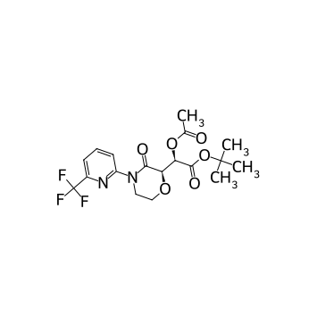 CC(=O)O[C@@H](C(=O)OC(C)(C)C)[C@H]1OCCN(c2cccc(C(F)(F)F)n2)C1=O